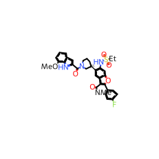 CCS(=O)(=O)Nc1cc2oc(-c3ccc(F)cc3)c(C(=O)NC)c2cc1[C@@H]1CCCN(C(=O)c2cc3cccc(OC)c3[nH]2)C1